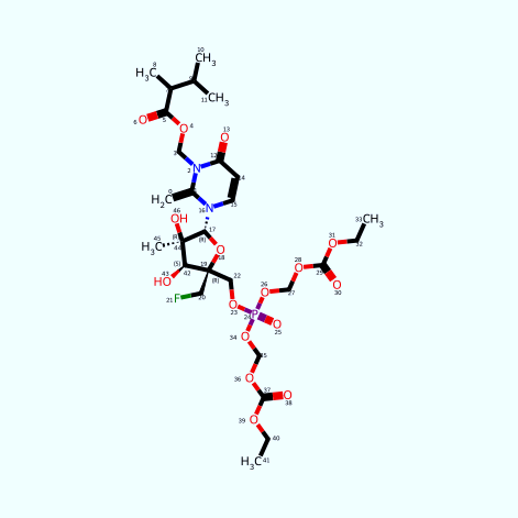 C=C1N(COC(=O)C(C)C(C)C)C(=O)C=CN1[C@@H]1O[C@](CF)(COP(=O)(OCOC(=O)OCC)OCOC(=O)OCC)[C@@H](O)[C@@]1(C)O